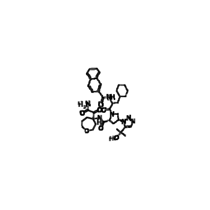 CC(C)(O)c1cnnn1[C@H]1C[C@@H](C(=O)NC2(C(=O)C(N)=O)CCCOCC2)N(C(=O)C(CC2CCCCC2)NC(=O)c2ccc3ccccc3c2)C1